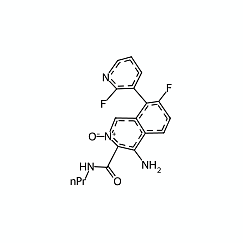 CCCNC(=O)c1c(N)c2ccc(F)c(-c3cccnc3F)c2c[n+]1[O-]